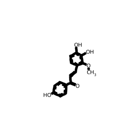 COc1c(/C=C/C(=O)c2ccc(O)cc2)ccc(O)c1O